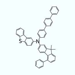 CC1(C)c2cc(N(c3ccc(-c4ccc(-c5ccccc5)cc4)cc3)c3ccc4sc5ccccc5c4c3)ccc2-c2c(-c3ccccc3)cccc21